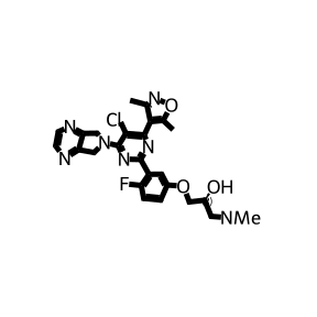 CNC[C@@H](O)COc1ccc(F)c(-c2nc(-c3c(C)noc3C)c(Cl)c(N3Cc4nccnc4C3)n2)c1